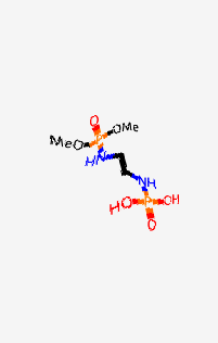 COP(=O)(NCCNP(=O)(O)O)OC